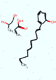 C=CC(=O)O.CC(O)CO.CCCCCCCCCc1ccccc1O